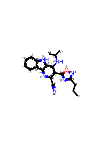 CCCc1noc(-c2c(C#N)nc3c([nH]c4ccccc43)c2NC(C)C)n1